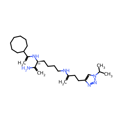 C=C(CCc1cn(C(C)C)nn1)NCCCC[C@H](NC(=C)C1CCCCCCC1)C(=C)N